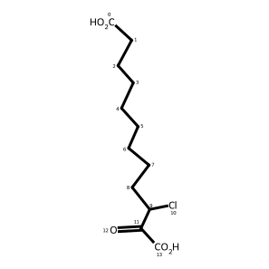 O=C(O)CCCCCCCCC(Cl)C(=O)C(=O)O